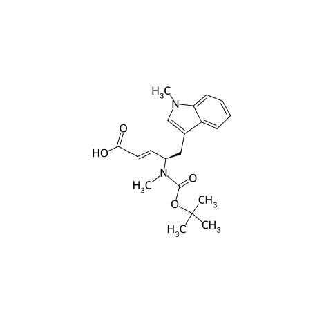 CN(C(=O)OC(C)(C)C)[C@@H](C=CC(=O)O)Cc1cn(C)c2ccccc12